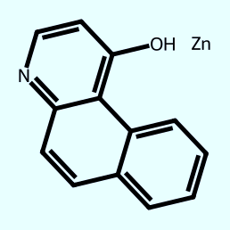 Oc1ccnc2ccc3ccccc3c12.[Zn]